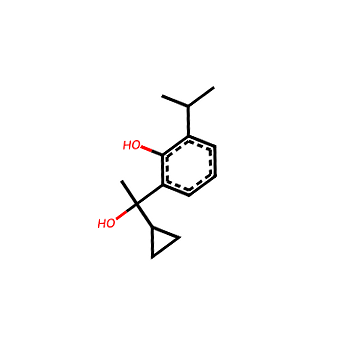 CC(C)c1cccc(C(C)(O)C2CC2)c1O